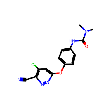 CN(C)C(=O)Nc1ccc(Oc2cc(Cl)c(C#N)nn2)cc1